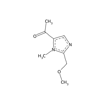 COCc1ncc(C(C)=O)n1C